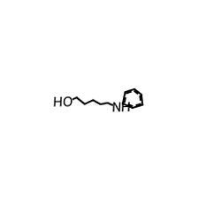 OCCCCCNc1ccccc1